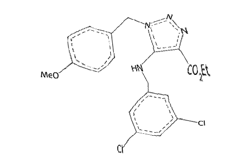 CCOC(=O)c1nnn(Cc2ccc(OC)cc2)c1Nc1cc(Cl)cc(Cl)c1